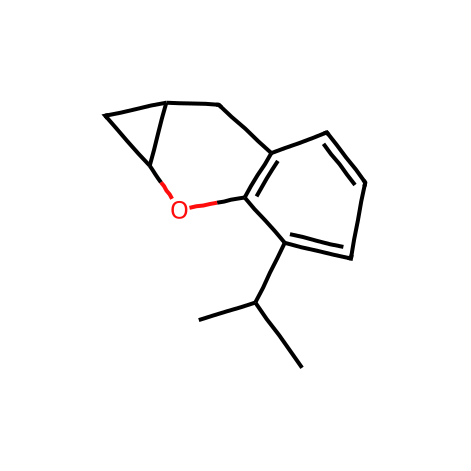 CC(C)c1cccc2c1OC1CC1C2